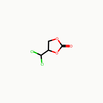 O=C1OCC(C(Cl)Cl)O1